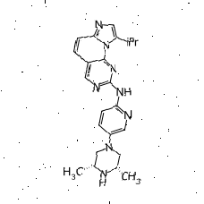 CC(C)c1cnc2ccc3cnc(Nc4ccc(N5C[C@@H](C)N[C@@H](C)C5)cn4)nc3n12